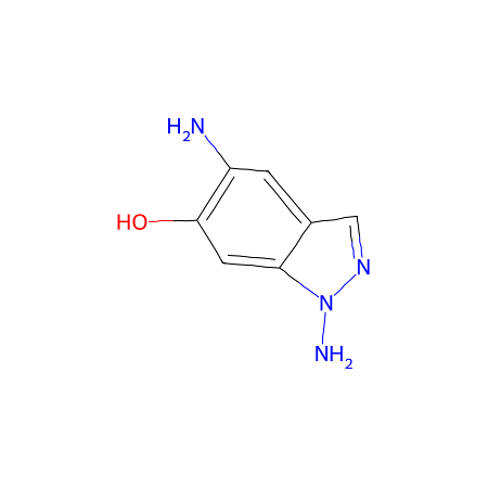 Nc1cc2cnn(N)c2cc1O